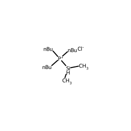 CCCC[P+](CCCC)(CCCC)[SiH](C)C.[Cl-]